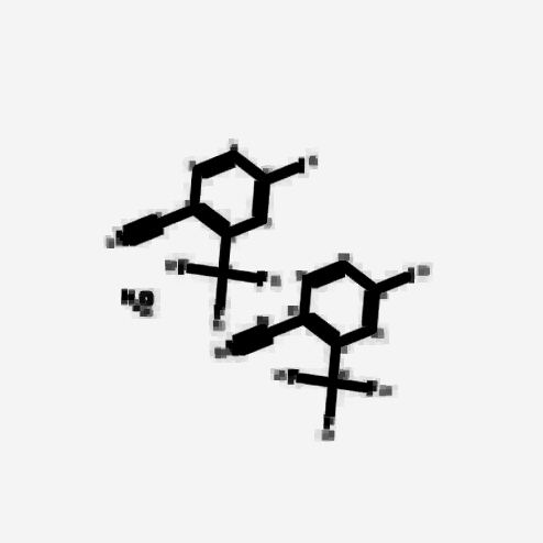 N#Cc1ccc(I)cc1C(F)(F)F.N#Cc1ccc(I)cc1C(F)(F)F.O